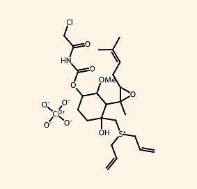 C=CC[S+](CC=C)CC1(O)CCC(OC(=O)NC(=O)CCl)C(OC)C1C1(C)OC1CC=C(C)C.[O-][Cl+3]([O-])([O-])[O-]